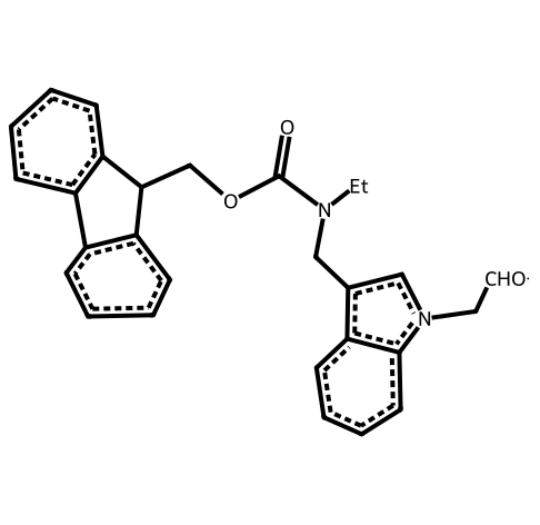 CCN(Cc1cn(C[C]=O)c2ccccc12)C(=O)OCC1c2ccccc2-c2ccccc21